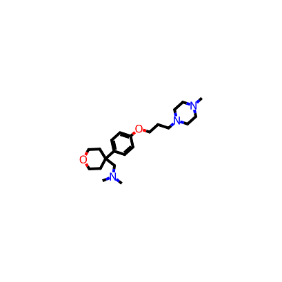 CN(C)CC1(c2ccc(OCCCN3CCN(C)CC3)cc2)CCOCC1